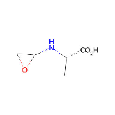 C[C@H](NC1CO1)C(=O)O